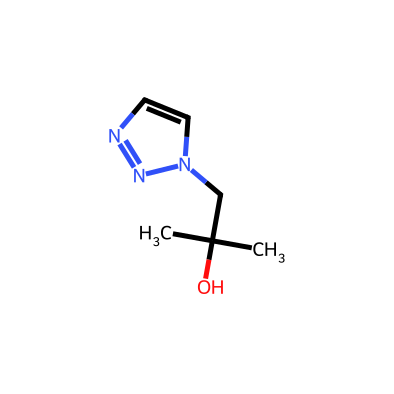 CC(C)(O)Cn1ccnn1